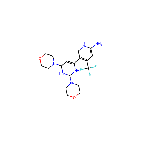 NC1=CC(C(F)(F)F)=C(C2=CC(N3CCOCC3)NC(N3CCOCC3)N2)CN1